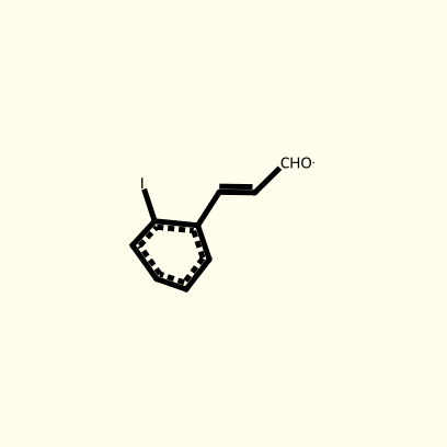 O=[C]C=Cc1ccccc1I